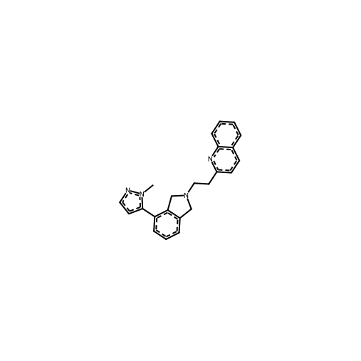 Cn1nccc1-c1cccc2c1CN(CCc1ccc3ccccc3n1)C2